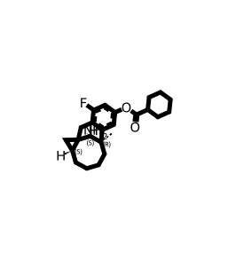 C[C@@]12CCCC[C@H]3CC3(Cc3c(F)cc(OC(=O)C4CCCCC4)cc31)[C@@H]2N